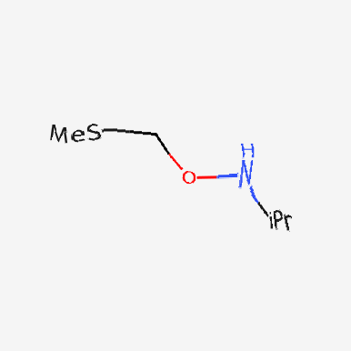 CSCONC(C)C